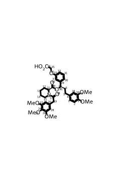 COc1ccc(CC[C@@H](OC(=O)[C@@H]2CCCCN2C(=O)Cc2cc(OC)c(OC)c(OC)c2)c2cccc(OCC(=O)O)c2)cc1OC